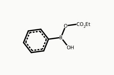 CCOC(=O)OB(O)c1ccccc1